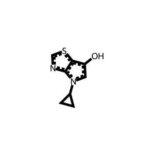 Oc1cn(C2CC2)c2ncsc12